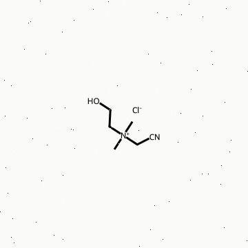 C[N+](C)(CC#N)CCO.[Cl-]